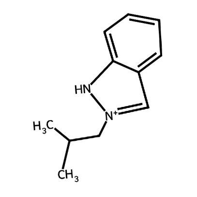 CC(C)C[n+]1cc2ccccc2[nH]1